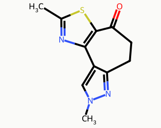 Cc1nc2c(s1)C(=O)CCc1nn(C)cc1-2